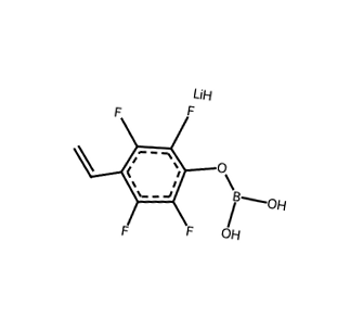 C=Cc1c(F)c(F)c(OB(O)O)c(F)c1F.[LiH]